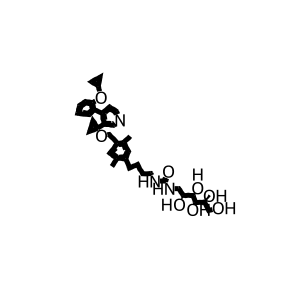 Cc1cc(COC2(c3cnccc3-c3ccccc3OC3CC3)CC2)c(C)cc1CCCCNC(=O)NC[C@@H](O)[C@H](O)[C@@H](O)[C@@H](O)CO